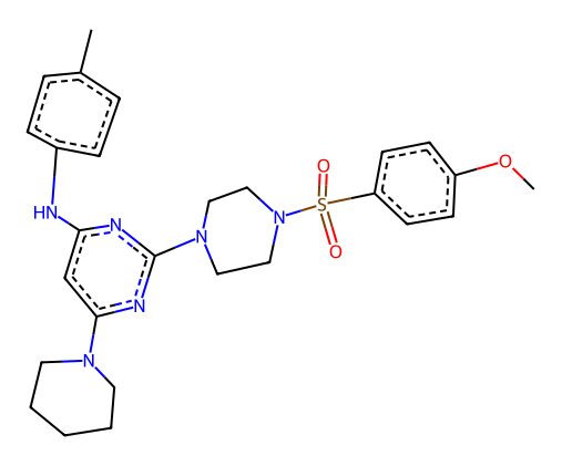 COc1ccc(S(=O)(=O)N2CCN(c3nc(Nc4ccc(C)cc4)cc(N4CCCCC4)n3)CC2)cc1